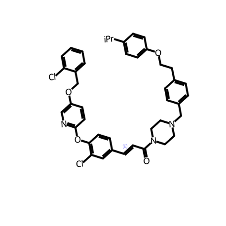 CC(C)c1ccc(OCCc2ccc(CN3CCN(C(=O)/C=C/c4ccc(Oc5ccc(OCc6ccccc6Cl)cn5)c(Cl)c4)CC3)cc2)cc1